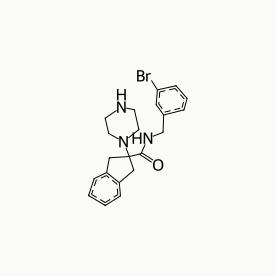 O=C(NCc1cccc(Br)c1)C1(N2CCNCC2)Cc2ccccc2C1